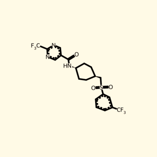 O=C(N[C@H]1CC[C@H](CS(=O)(=O)c2cccc(C(F)(F)F)c2)CC1)c1cnc(C(F)(F)F)nc1